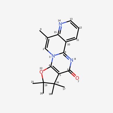 Cc1cn2c3c(c(=O)nc2c2cccnc12)C(C)(C)C(C)(C)O3